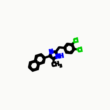 Cc1[nH]c(Cc2ccc(Cl)c(Cl)c2)nc1-c1ccc2ccccc2c1